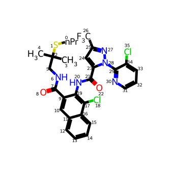 CCCSC(C)(C)CNC(=O)c1cc2ccccc2c(Cl)c1NC(=O)c1cc(C(F)(F)F)nn1-c1ncccc1Cl